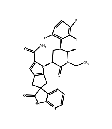 C[C@@H]1[C@H](c2c(F)ccc(F)c2F)C[C@H](n2c(C(N)=O)cc3c2CC2(C3)C(=O)Nc3ncccc32)C(=O)N1CC(F)(F)F